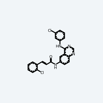 O=C(C=Cc1ccccc1Cl)Nc1ccc2ncnc(Nc3cccc(Cl)c3)c2c1